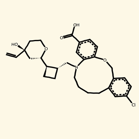 C=C[C@]1(O)CCO[C@H]([C@@H]2CC[C@H]2CN2CCCCc3cc(Cl)ccc3COc3ccc(C(=O)O)cc32)C1